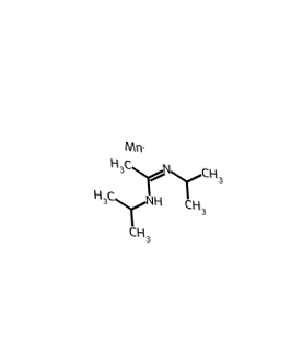 CC(=NC(C)C)NC(C)C.[Mn]